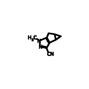 Cn1nc(C#N)c2c1CC1CC21